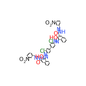 O=C(NN=Cc1cccc([N+](=O)[O-])c1)c1cc2ccccc2c(N=Nc2ccc(-c3ccc(N=Nc4c(O)c(C(=O)NN=Cc5cccc([N+](=O)[O-])c5)cc5ccccc45)c(Cl)c3)cc2Cl)c1O